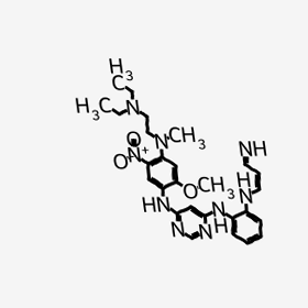 CCN(CC)CCN(C)c1cc(OC)c(Nc2cc(Nc3ccccc3N/C=C\C=N)ncn2)cc1[N+](=O)[O-]